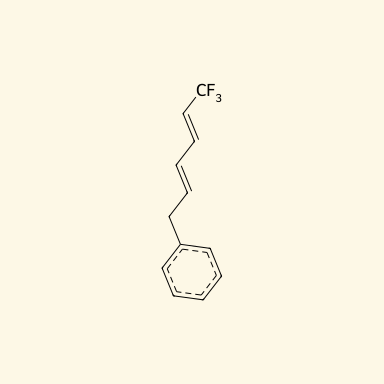 FC(F)(F)C=CC=CCc1ccccc1